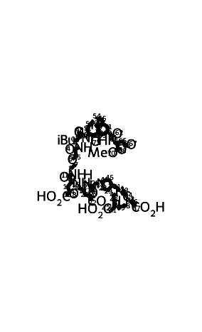 CCC(C)C(NC(=O)COCCNC(=O)C(CCC(=O)O)NC(=O)C(CCC(=O)O)NC(=O)CN1CCC(CN2CCN(CC(=O)O)CCN(CC(=O)O)CC2)CC1)C(=O)N[C@H]1CCn2ccc3c2C(=C[C@@H](C(=O)N[C@H]2CC(=O)O[C@H]2OC)C3)C1=O